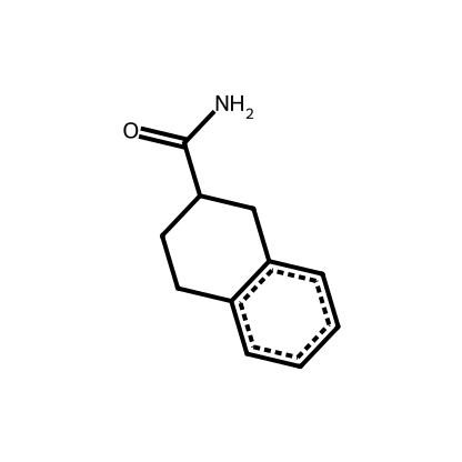 NC(=O)C1CCc2ccccc2C1